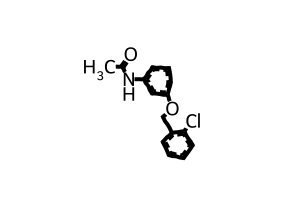 CC(=O)Nc1cccc(OCc2ccccc2Cl)c1